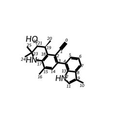 C#Cc1c(-c2cccc3c(C)c[nH]c23)cc(C)c2c1[C@H](C)[C@@H](O)C(C)(C)N2